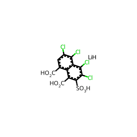 O=C(O)c1cc(Cl)c(Cl)c2c(Cl)c(Cl)c(S(=O)(=O)O)c(C(=O)O)c12.[LiH]